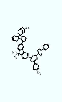 CCC1CC2CCC3(c4ccccc4-c4c(-c5ccc6c(c5)-c5cc(-c7nc(-c8ccc(C)cc8)nc(-c8ccc(-c9ccccc9)cc8)n7)ccc5C6(C)C)cccc43)C(C1)C2